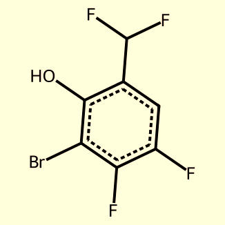 Oc1c(C(F)F)cc(F)c(F)c1Br